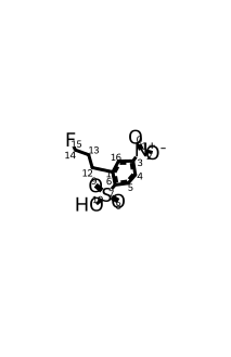 O=[N+]([O-])c1ccc(S(=O)(=O)O)c(CCCF)c1